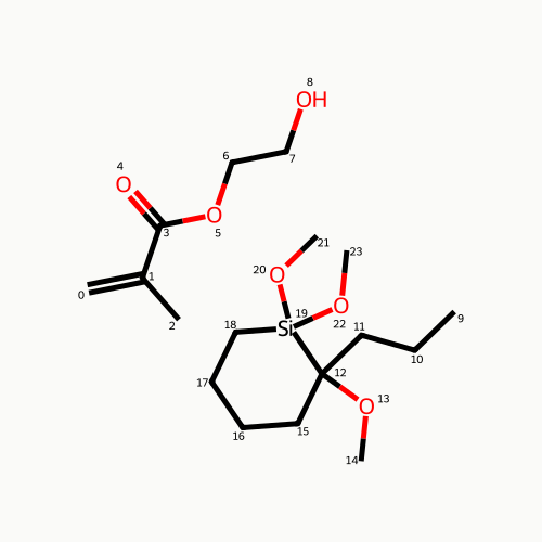 C=C(C)C(=O)OCCO.CCCC1(OC)CCCC[Si]1(OC)OC